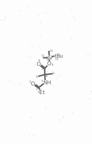 CCC(=O)NC(C)(C)C(=O)O[Si](C)(C)C(C)(C)C